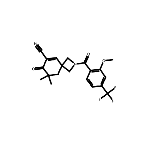 COc1cc(C(F)(F)F)ccc1C(=O)N1CC2(C=C(C#N)C(=O)C(C)(C)C2)C1